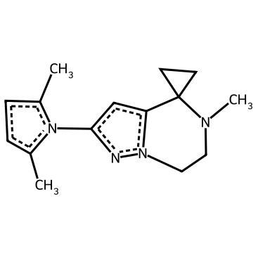 Cc1ccc(C)n1-c1cc2n(n1)CCN(C)C21CC1